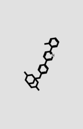 Cc1ccccc1-c1ccc(-c2ccc(CC34CC(C)CC(CC(C)C3)C4)cc2)cn1